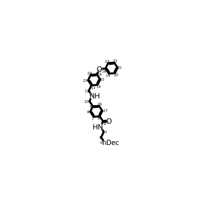 CCCCCCCCCCCCNC(=O)c1ccc(CNCc2ccc(Oc3ccccc3)cc2)cc1